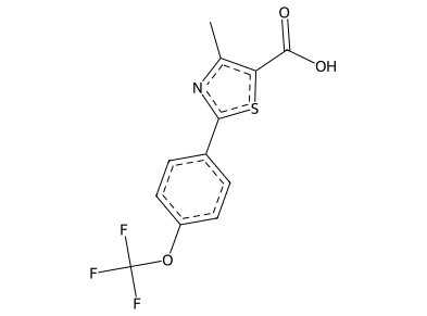 Cc1nc(-c2ccc(OC(F)(F)F)cc2)sc1C(=O)O